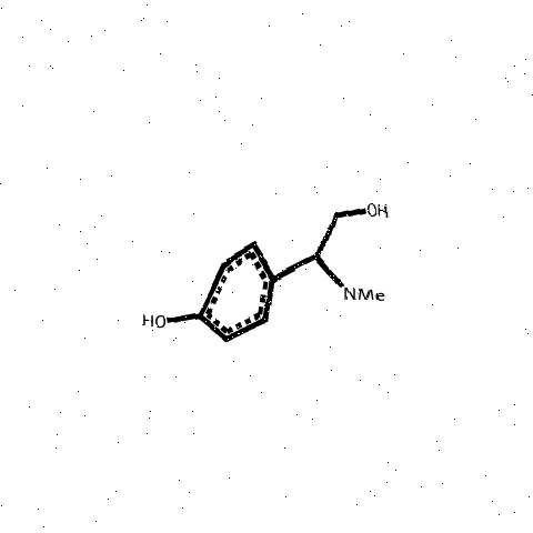 CNC(CO)c1ccc(O)cc1